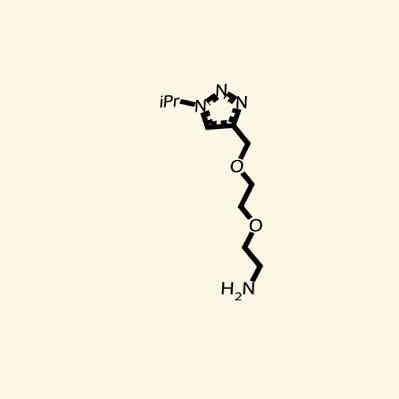 CC(C)n1cc(COCCOCCN)nn1